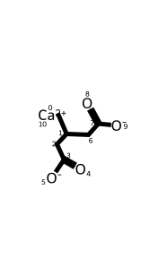 CC(CC(=O)[O-])CC(=O)[O-].[Ca+2]